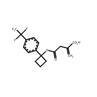 C=C(CC(=O)OC1(c2ccc(C(F)(F)C(F)(F)F)cc2)CCC1)C(=O)O